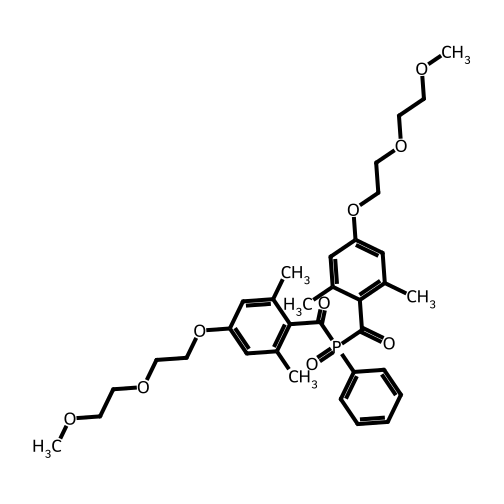 COCCOCCOc1cc(C)c(C(=O)P(=O)(C(=O)c2c(C)cc(OCCOCCOC)cc2C)c2ccccc2)c(C)c1